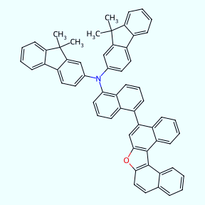 CC1(C)c2ccccc2-c2ccc(N(c3ccc4c(c3)C(C)(C)c3ccccc3-4)c3cccc4c(-c5cc6oc7ccc8ccccc8c7c6c6ccccc56)cccc34)cc21